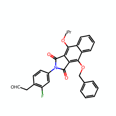 CC(C)Oc1c2c(c(OCc3ccccc3)c3ccccc13)C(=O)N(c1ccc(CC=O)c(F)c1)C2=O